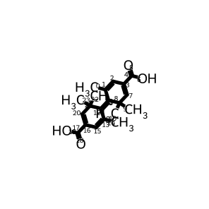 CC1=CC(C(=O)O)=CC(C)(C)/C1=C1\C(C)=CC(C(=O)O)=CC1(C)C